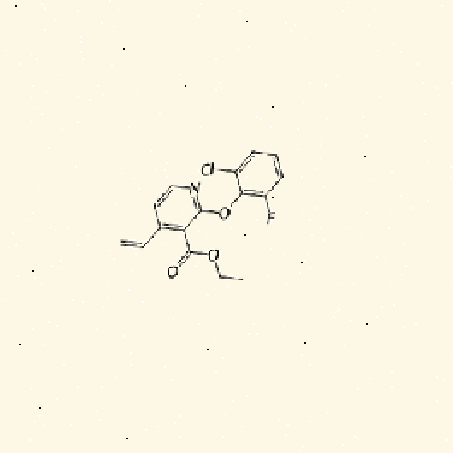 C=Cc1ccnc(Oc2c(F)cccc2Cl)c1C(=O)OCC